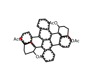 CC(=O)OC1C=C(c2c3ccccc3c(-c3ccccc3)c3c(C4=CC(OC(C)=O)CCC4OC(C)=O)c4ccccc4c(-c4ccccc4)c23)C(OC(C)=O)CC1